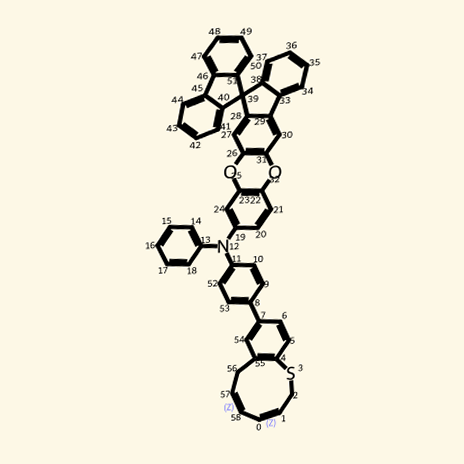 C1=C\CSc2ccc(-c3ccc(N(c4ccccc4)c4ccc5c(c4)Oc4cc6c(cc4O5)-c4ccccc4C64c5ccccc5-c5ccccc54)cc3)cc2C\C=C/1